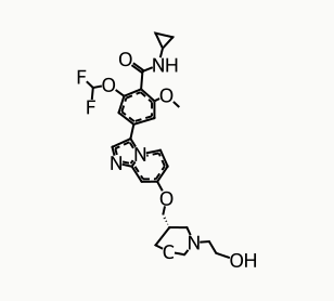 COc1cc(-c2cnc3cc(OC[C@H]4CCCN(CCO)C4)ccn23)cc(OC(F)F)c1C(=O)NC1CC1